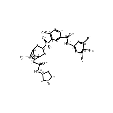 C[C@H]1CC2CC(S(=O)(=O)c3cc(C(=O)Nc4cc(F)c(F)c(F)c4)ccc3Cl)CC1[C@@]2(O)CC(=O)N[C@H]1CCOC1